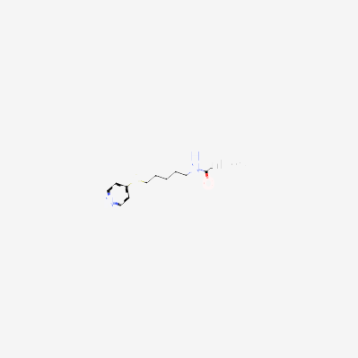 CCCCCCCC(=O)NCCCCCSc1ccncc1